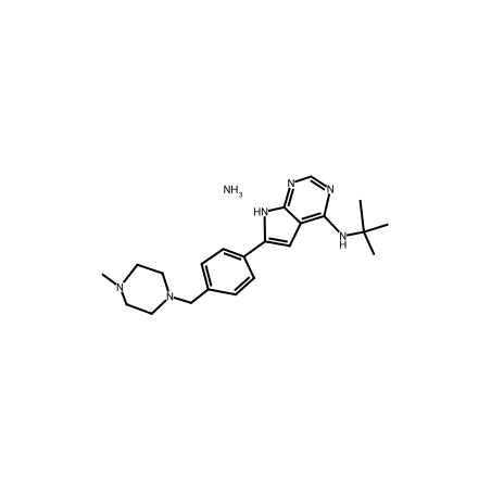 CN1CCN(Cc2ccc(-c3cc4c(NC(C)(C)C)ncnc4[nH]3)cc2)CC1.N